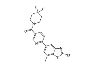 CCc1nc2cc(-c3ccc(C(=O)N4CCC(F)(F)CC4)cn3)cc(C)c2s1